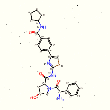 N[C@@H](C(=O)N1C[C@@H](O)C[C@H]1C(=O)Nc1nc(-c2ccc(C(=O)NC3CCCC3)cc2)cs1)c1ccccc1